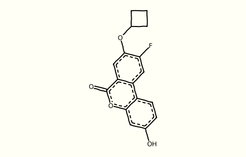 O=c1oc2cc(O)ccc2c2cc(F)c(OC3CCC3)cc12